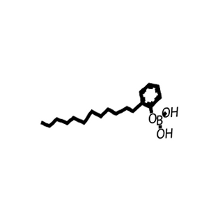 CCCCCCCCCCCCc1ccccc1OB(O)O